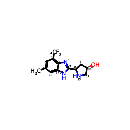 Cc1cc(C(F)(F)F)c2nc(C3C[C@@H](O)CN3)[nH]c2c1